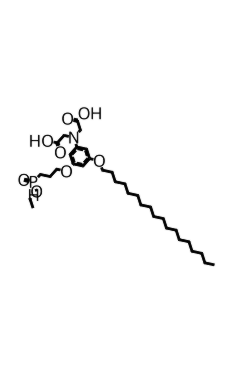 CCCCCCCCCCCCCCCCCCOc1cc(OCCC[PH](=O)OCC)cc(N(CC(=O)O)CC(=O)O)c1